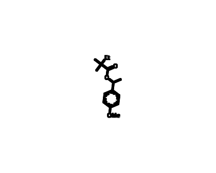 CCC(C)(C)C(=O)OC(C)c1ccc(OC)cc1